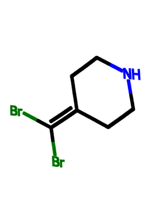 BrC(Br)=C1CCNCC1